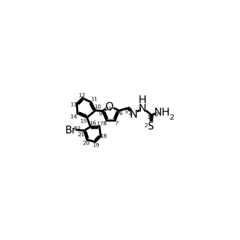 NC(=S)N/N=C/c1ccc(-c2ccccc2-c2ccccc2Br)o1